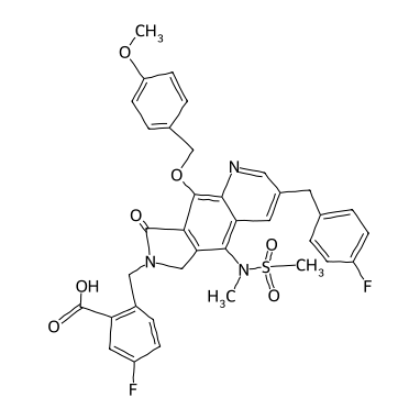 COc1ccc(COc2c3c(c(N(C)S(C)(=O)=O)c4cc(Cc5ccc(F)cc5)cnc24)CN(Cc2ccc(F)cc2C(=O)O)C3=O)cc1